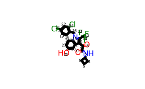 O=C(NC1CCC1)C(=O)c1c(C(F)(F)F)n(Cc2ccc(Cl)cc2Cl)c2ccc(O)cc12